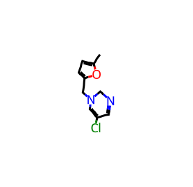 Cc1ccc(CN2C=C(Cl)C=NC2)o1